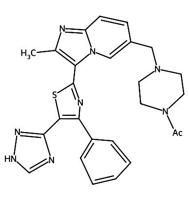 CC(=O)N1CCN(Cc2ccc3nc(C)c(-c4nc(-c5ccccc5)c(-c5nc[nH]n5)s4)n3c2)CC1